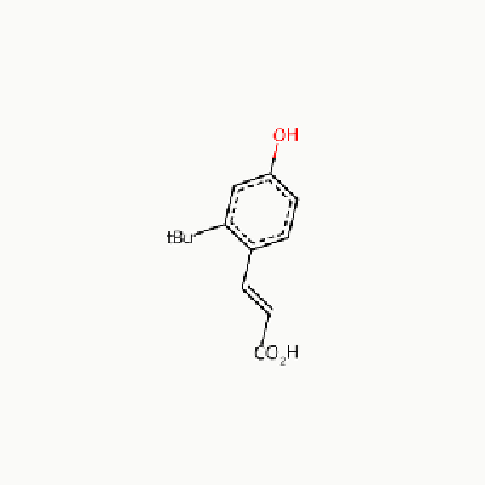 CC(C)(C)c1cc(O)ccc1C=CC(=O)O